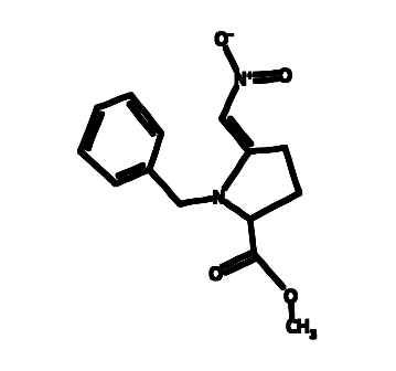 COC(=O)C1CCC(=C[N+](=O)[O-])N1Cc1ccccc1